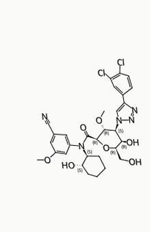 COc1cc(C#N)cc(N(C(=O)[C@@H]2O[C@H](CO)[C@H](O)[C@H](n3cc(-c4ccc(Cl)c(Cl)c4)nn3)[C@H]2OC)[C@H]2CCCC[C@@H]2O)c1